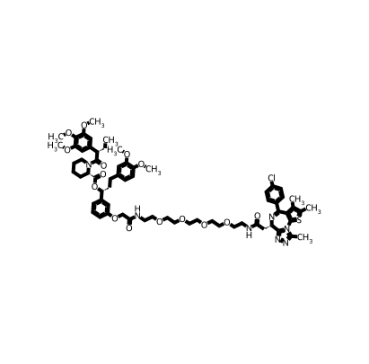 CC[C@H](C(=O)N1CCCC[C@H]1C(=O)O[C@H](CCc1ccc(OC)c(OC)c1)c1cccc(OCC(=O)NCCOCCOCCOCCOCCNC(=O)C[C@@H]2N=C(c3ccc(Cl)cc3)c3c(sc(C)c3C)-n3c(C)nnc32)c1)c1cc(OC)c(OC)c(OC)c1